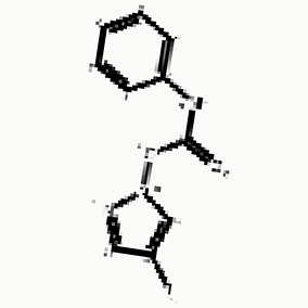 O=C(Nc1ccccc1)On1cc(I)cn1